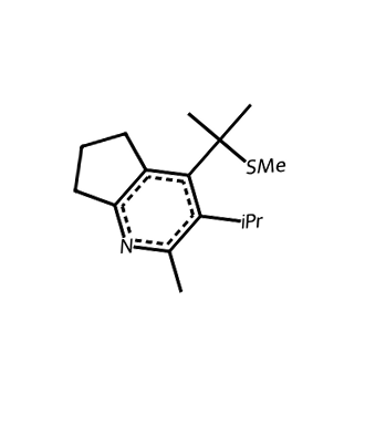 CSC(C)(C)c1c2c(nc(C)c1C(C)C)CCC2